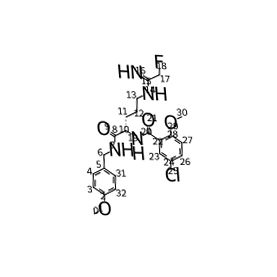 COc1ccc(CNC(=O)[C@H](CCCNC(=N)CF)NC(=O)c2cc(Cl)ccc2OC)cc1